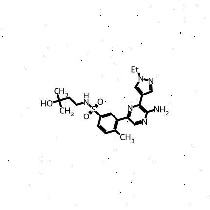 CCn1cc(-c2nc(-c3cc(S(=O)(=O)NCCC(C)(C)O)ccc3C)cnc2N)cn1